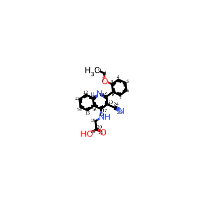 CCOc1ccccc1-c1nc2ccccc2c(NCC(=O)O)c1C#N